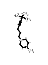 CN1CCN(CCCC#CC(C)(C)C)CC1